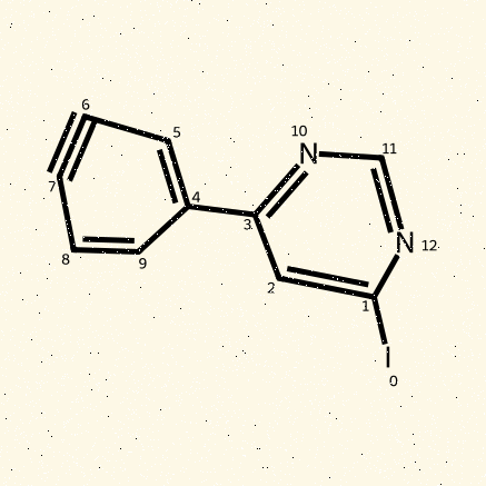 Ic1cc(-c2cc#ccc2)ncn1